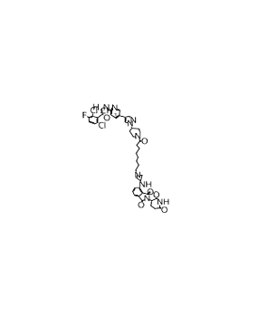 CC(Oc1cc(-c2cnn(C3CCN(C(=O)CCCCCCCN4CC(Nc5cccc6c5C(=O)N(C5CCC(=O)NC5=O)C6=O)C4)CC3)c2)cnc1N)c1c(Cl)ccc(F)c1Cl